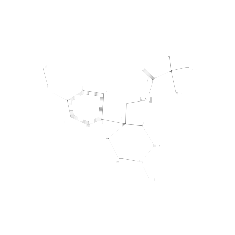 COc1ccc(C2(CNC(=O)C(C)(C)C)CCN(C)CC2)cc1